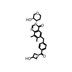 Cc1c(Cc2ccc(C(=O)N3CC(O)C3)cc2)cc2c(=O)n([C@H]3CCOC[C@@H]3O)cnc2c1C